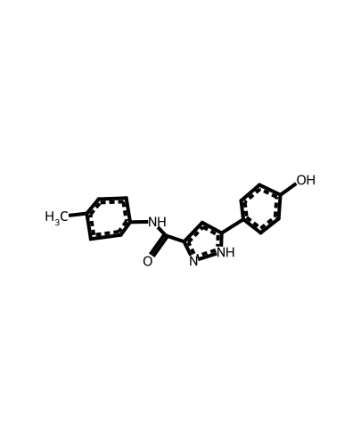 Cc1ccc(NC(=O)c2cc(-c3ccc(O)cc3)[nH]n2)cc1